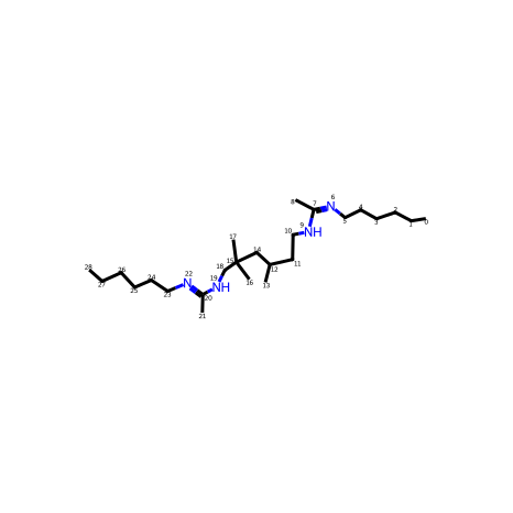 CCCCCCN=C(C)NCCC(C)CC(C)(C)CNC(C)=NCCCCCC